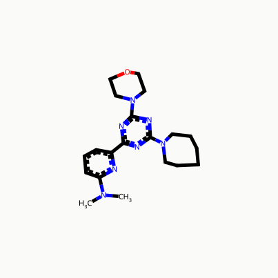 CN(C)c1cccc(-c2nc(N3CCCCCC3)nc(N3CCOCC3)n2)n1